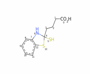 O=C(O)CCCC1(S)Nc2ccccc2S1